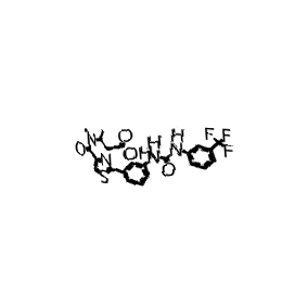 CC(CC(=O)O)N(C)C(=O)c1csc(-c2cccc(NC(=O)Nc3cccc(C(F)(F)F)c3)c2)n1